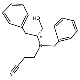 N#CCCN(Cc1ccccc1)[C@@H](CO)Cc1ccccc1